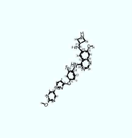 COc1ncc(-n2ccc(Oc3ccc(Nc4ncnc5cc(OC)c(NC6CNC6)cc45)c(F)c3)n2)cn1